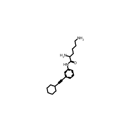 NCCCCC(N)C(=O)Nc1cccc(C#CC2CCCCC2)c1